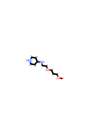 COCCCOCCNC1CCNCC1